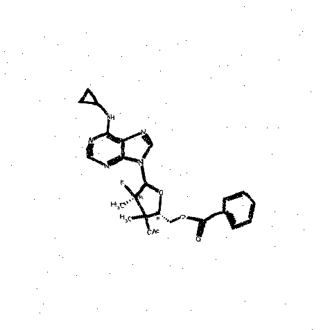 CC(=O)OC1(C)[C@@H](COC(=O)c2ccccc2)OC(n2cnc3c(NC4CC4)ncnc32)[C@]1(C)F